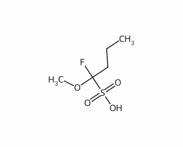 CCCC(F)(OC)S(=O)(=O)O